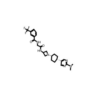 CN(C)c1ncc([C@H]2CC[C@@H](N3CC(NC(=O)CNC(=O)c4cccc(C(F)(F)F)c4)C3)CC2)cn1